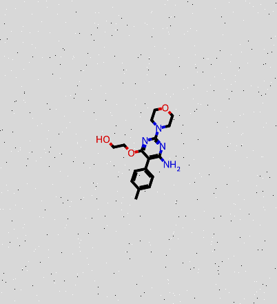 Cc1ccc(-c2c(N)nc(N3CCOCC3)nc2OCCO)cc1